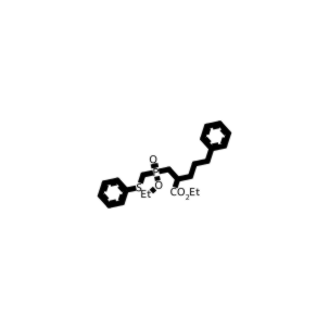 CCOC(=O)C(CCCc1ccccc1)CP(=O)(CSc1ccccc1)OCC